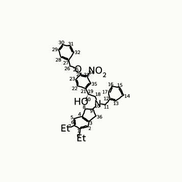 CCc1cc2c(cc1CC)CC(N(Cc1ccccc1)C[C@H](O)c1ccc(OCc3ccccc3)c([N+](=O)[O-])c1)C2